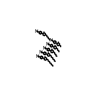 CCC1CCC(c2ccc(C#N)cc2)C(C)C1.CCCCC1CCC(c2ccc(C#N)cc2)C(C)C1.CCCCCC1CCC(c2ccc(C#N)cc2)C(C)C1.CCCCCCC1CCC(c2ccc(C#N)cc2)C(C)C1.CCCCCCCC1CCC(c2ccc(C#N)cc2)C(C)C1.CCCCCCCCC1CCC(c2ccc(C#N)cc2)C(C)C1